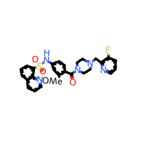 COc1cc(NS(=O)(=O)c2cccc3cccnc23)ccc1C(=O)N1CCN(Cc2ncccc2F)CC1